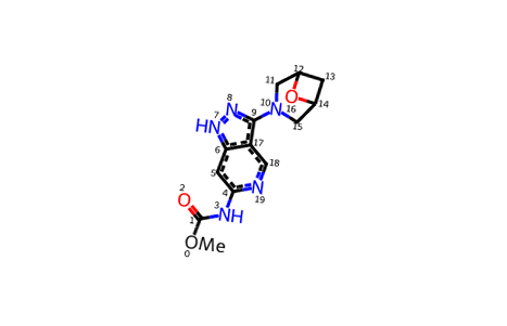 COC(=O)Nc1cc2[nH]nc(N3CC4CC(C3)O4)c2cn1